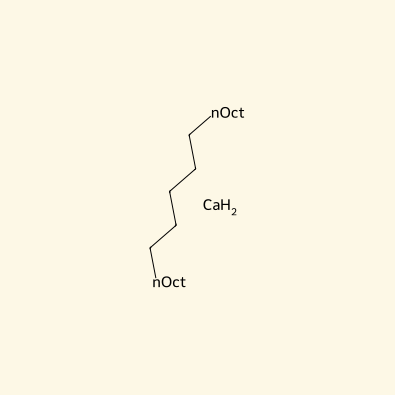 CCCCCCCCCCCCCCCCCCCCC.[CaH2]